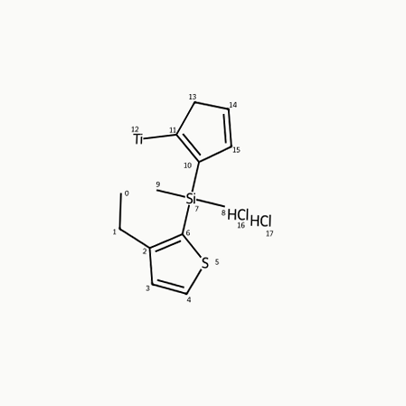 CCc1ccsc1[Si](C)(C)C1=[C]([Ti])CC=C1.Cl.Cl